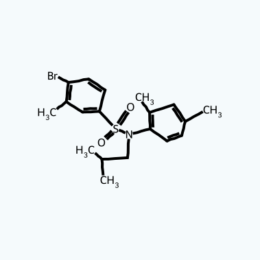 Cc1ccc(N(CC(C)C)S(=O)(=O)c2ccc(Br)c(C)c2)c(C)c1